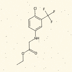 CCOC(=O)CNc1ccc(Cl)c(C(F)(F)F)c1